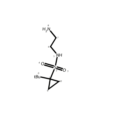 CC(C)(C)C1(S(=O)(=O)NCCN)CC1